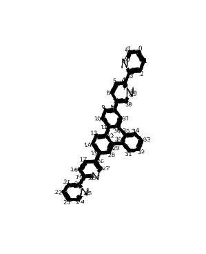 c1ccc(-c2ccc(-c3ccc4c5ccc(-c6ccc(-c7ccccn7)nc6)cc5c5ccccc5c4c3)cn2)nc1